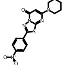 O=c1cc(N2CCCCC2)nc2sc(-c3ccc([N+](=O)[O-])cc3)nn12